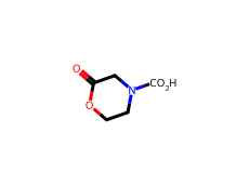 O=C1CN(C(=O)O)CCO1